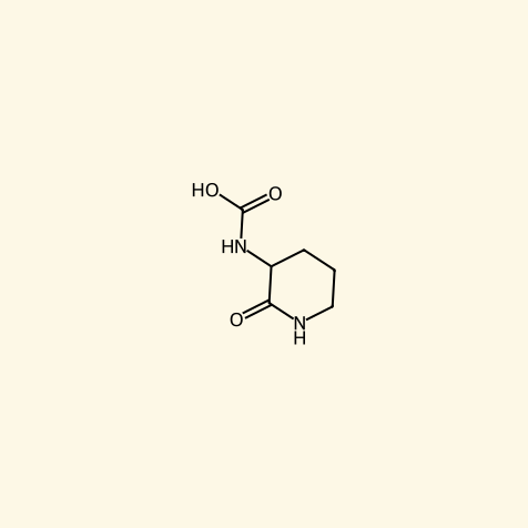 O=C(O)NC1CCCNC1=O